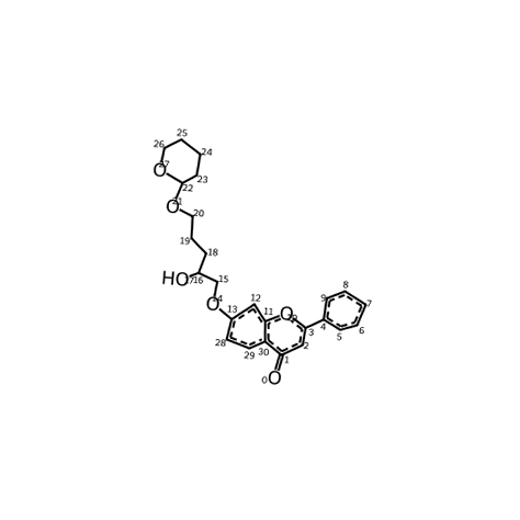 O=c1cc(-c2ccccc2)oc2cc(OCC(O)CCCOC3CCCCO3)ccc12